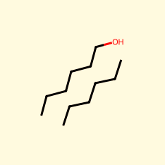 CCCCCC.CCCCCCO